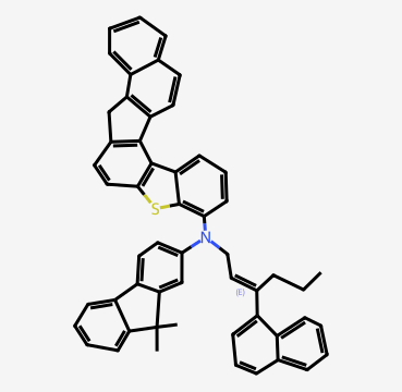 CCC/C(=C\CN(c1ccc2c(c1)C(C)(C)c1ccccc1-2)c1cccc2c1sc1ccc3c(c12)-c1ccc2ccccc2c1C3)c1cccc2ccccc12